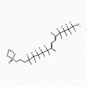 CCOP(=O)(OCC)OCCC(F)(F)C(F)(F)C(F)(F)C(F)(F)C(F)(F)/C(F)=C/C=C(\F)C(F)(F)C(F)(F)C(F)(F)C(F)(F)C(F)(F)F